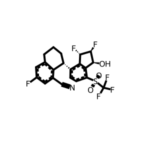 N#Cc1cc(F)cc2c1[C@@H](c1ccc(S(=O)(=O)C(F)(F)F)c3c1[C@H](F)[C@@H](F)[C@H]3O)CCC2